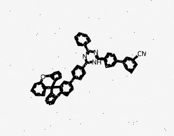 N#Cc1cccc(-c2ccc(C3=NC(c4ccccc4)=NC(c4ccc(-c5ccc6c(c5)C5(c7ccccc7Oc7ccccc75)c5ccccc5-6)cc4)N3)cc2)c1